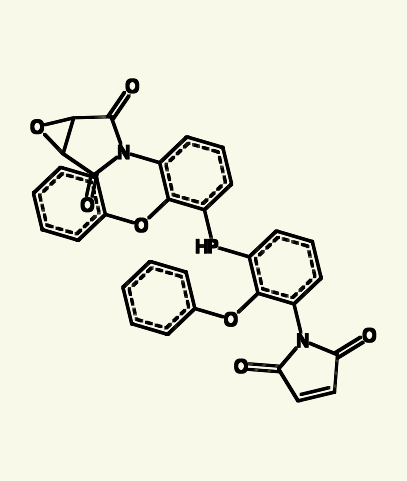 O=C1C=CC(=O)N1c1cccc(Pc2cccc(N3C(=O)C4OC4C3=O)c2Oc2ccccc2)c1Oc1ccccc1